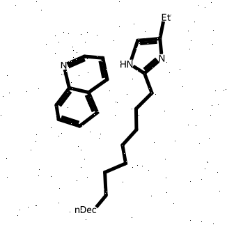 CCCCCCCCCCCCCCCCCc1nc(CC)c[nH]1.c1ccc2ncccc2c1